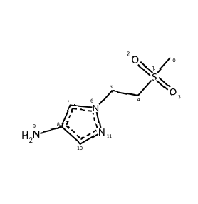 CS(=O)(=O)CCn1cc(N)cn1